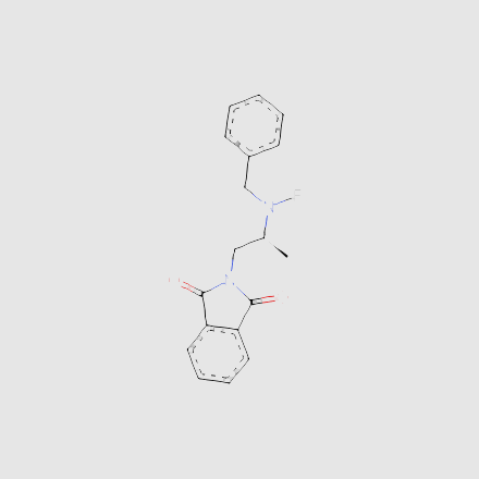 CCN(Cc1ccccc1)[C@@H](C)CN1C(=O)c2ccccc2C1=O